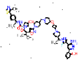 Cc1ncsc1-c1ccc([C@H](C)NC(=O)[C@@H]2C[C@@H](O)CN2C(=O)[C@@H](c2cc(N3CCC(CN4CCC(OC5CC(N6CCC([C@@H](C)n7ncc(-c8cc(-c9ccccc9O)nnc8N)c7F)CC6)C5)CC4)CC3)no2)C(C)C)cc1